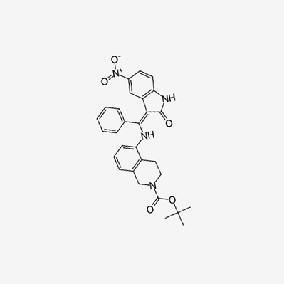 CC(C)(C)OC(=O)N1CCc2c(cccc2NC(=C2C(=O)Nc3ccc([N+](=O)[O-])cc32)c2ccccc2)C1